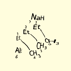 CCC.CCC.CCC.[Al].[NaH]